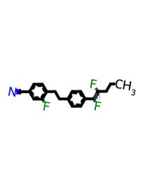 CCC/C(F)=C(\F)c1ccc(CCc2ccc(C#N)cc2F)cc1